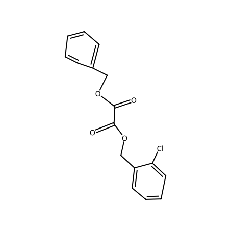 O=C(OCc1ccccc1)C(=O)OCc1ccccc1Cl